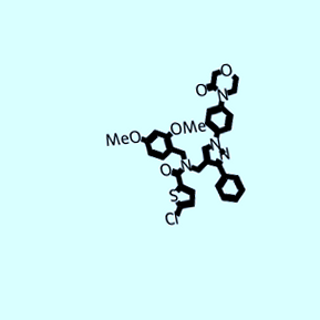 COc1ccc(CN(Cc2cn(-c3ccc(N4CCOCC4=O)cc3)nc2-c2ccccc2)C(=O)c2ccc(Cl)s2)c(OC)c1